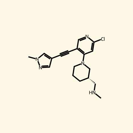 CNC[C@@H]1CCCN(c2cc(Cl)ncc2C#Cc2cnn(C)c2)C1